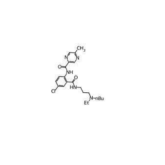 CCCCN(CC)CCCNC(=O)c1cc(Cl)ccc1NC(=O)c1cnc(C)cn1